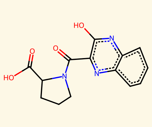 O=C(O)C1CCCN1C(=O)c1nc2ccccc2nc1O